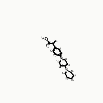 CC(C(=O)O)c1ccc(N2CCC(N3CCCCC3)CC2)cc1